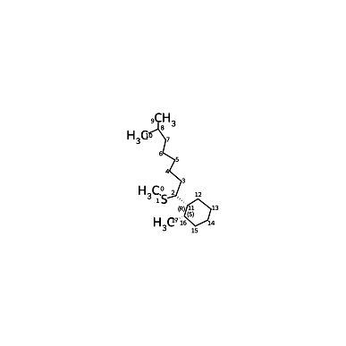 CSC(CCCCCC(C)C)[C@@H]1CCCC[C@@H]1C